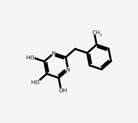 Cc1ccccc1Cc1nc(O)c(O)c(O)n1